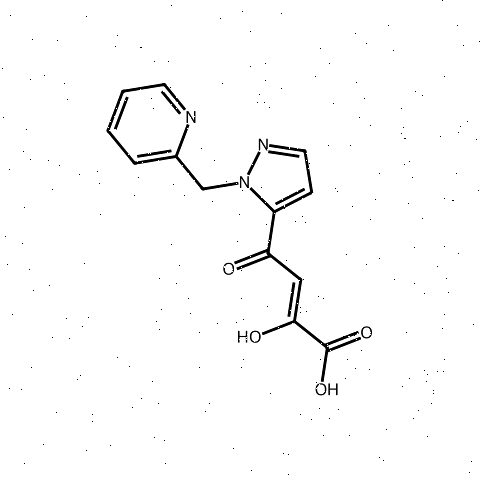 O=C(O)C(O)=CC(=O)c1ccnn1Cc1ccccn1